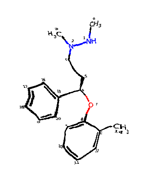 CNN(C)CC[C@@H](Oc1ccccc1C)c1ccccc1